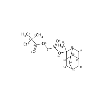 CCC(C)(C)C(=O)OCC(=O)OC1(C)C2CC3CC(C2)CC1C3